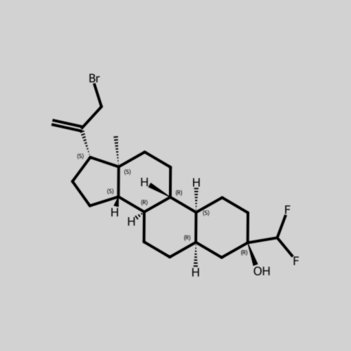 C=C(CBr)[C@H]1CC[C@H]2[C@@H]3CC[C@@H]4C[C@@](O)(C(F)F)CC[C@@H]4[C@H]3CC[C@]12C